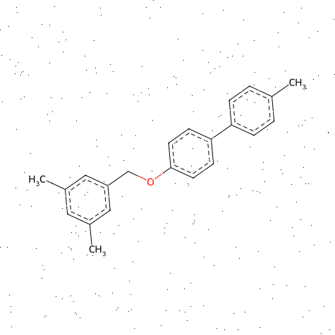 Cc1ccc(-c2ccc(OCc3cc(C)cc(C)c3)cc2)cc1